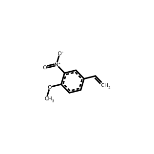 C=Cc1ccc(OC)c([N+](=O)[O-])c1